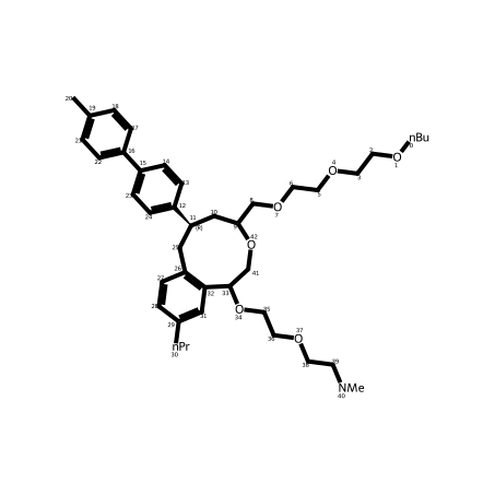 CCCCOCCOCCOCC1C[C@H](c2ccc(-c3ccc(C)cc3)cc2)Cc2ccc(CCC)cc2C(OCCOCCNC)CO1